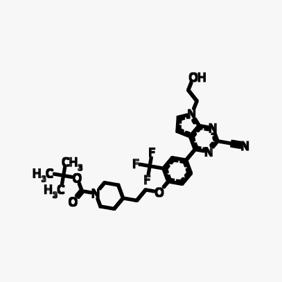 CC(C)(C)OC(=O)N1CCC(CCOc2ccc(-c3nc(C#N)nc4c3ccn4CCO)cc2C(F)(F)F)CC1